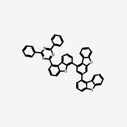 c1ccc(-c2nc(-c3ccccc3)nc(-c3cccc4oc5c(-c6cc(-c7cccc8sc9ccccc9c78)cc7oc8ccccc8c67)cccc5c34)n2)cc1